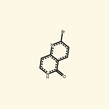 O=c1[nH]ccc2nc(Br)ccc12